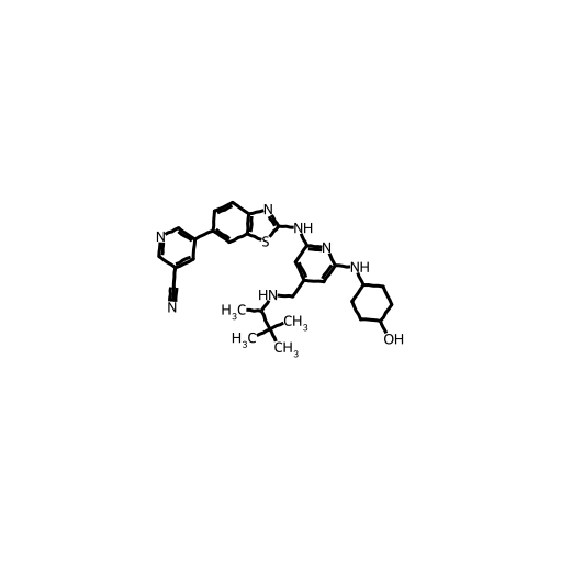 CC(NCc1cc(Nc2nc3ccc(-c4cncc(C#N)c4)cc3s2)nc(NC2CCC(O)CC2)c1)C(C)(C)C